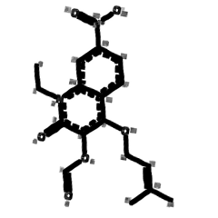 CCn1c(=O)c(OC=O)c(OCC=C(C)C)c2ccc([N+](=O)[O-])cc21